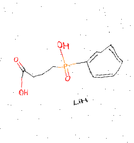 O=C(O)CCP(=O)(O)c1ccccc1.[LiH]